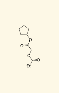 C[CH]C(=O)OCC(=O)OC1CCCC1